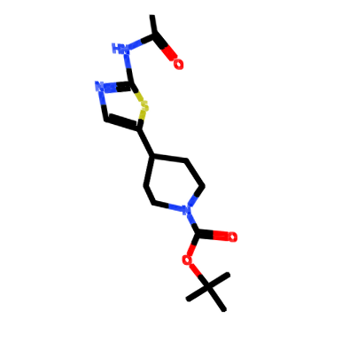 CC(=O)Nc1ncc(C2CCN(C(=O)OC(C)(C)C)CC2)s1